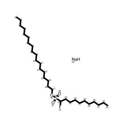 CCCCCCCCCCCCCCCCCCOS(=O)(=O)C(F)CCCCCCCCCC.[NaH]